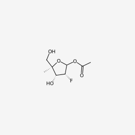 CC(=O)OC1O[C@](C)(CO)[C@@H](O)[C@H]1F